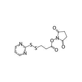 O=C(CCSSc1ncccn1)ON1C(=O)CCC1=O